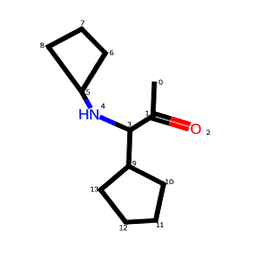 CC(=O)C(NC1CCC1)C1CCCC1